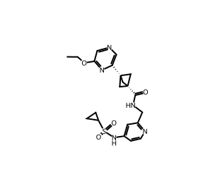 CCOc1cncc([C@]23C[C@](C(=O)NCc4cc(NS(=O)(=O)C5CC5)ccn4)(C2)C3)n1